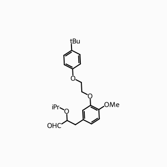 COc1ccc(CC(C=O)OC(C)C)cc1OCCOc1ccc(C(C)(C)C)cc1